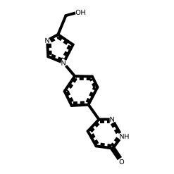 O=c1ccc(-c2ccc(-n3cnc(CO)c3)cc2)n[nH]1